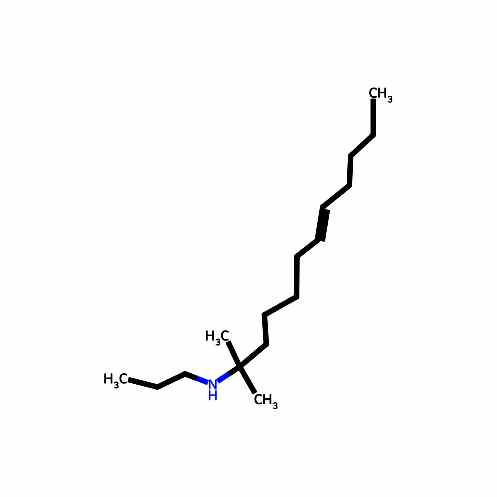 CCCCC=CCCCCC(C)(C)NCCC